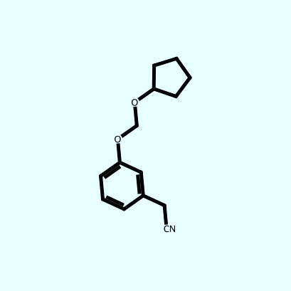 N#CCc1cccc(OCOC2CCCC2)c1